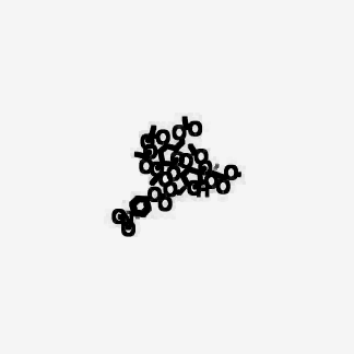 COC(=O)[C@]1(C)OC2C(OC(C)=O)[C@H](O[C@@H]3OC(COC(C)=O)[C@H](OC(C)=O)[C@H](OC(C)=O)C3OC(C)=O)[C@H](COC(=O)Oc3ccc([N+](=O)[O-])cc3)O[C@@H]2O1